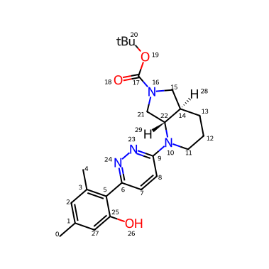 Cc1cc(C)c(-c2ccc(N3CCC[C@@H]4CN(C(=O)OC(C)(C)C)C[C@H]43)nn2)c(O)c1